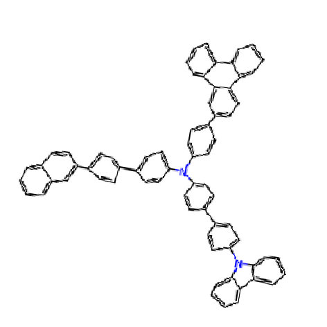 c1ccc2cc(-c3ccc(-c4ccc(N(c5ccc(-c6ccc(-n7c8ccccc8c8ccccc87)cc6)cc5)c5ccc(-c6ccc7c8ccccc8c8ccccc8c7c6)cc5)cc4)cc3)ccc2c1